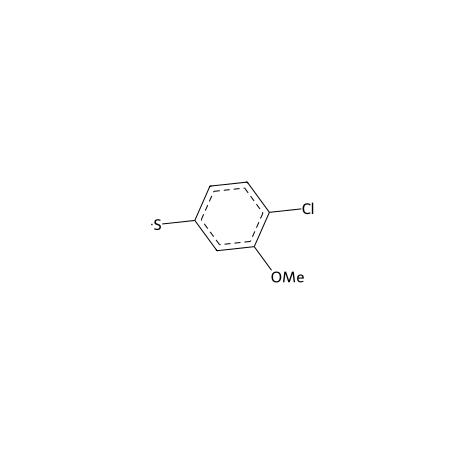 COc1cc([S])ccc1Cl